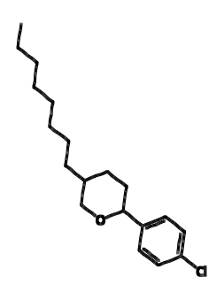 CCCCCCCCC1CCC(c2ccc(Cl)cc2)OC1